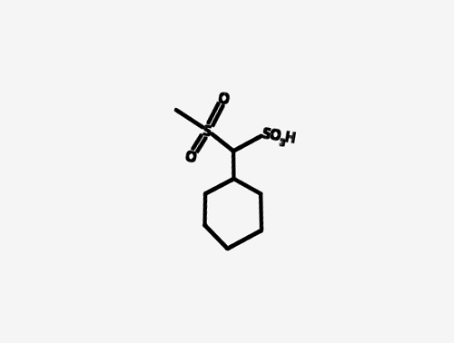 CS(=O)(=O)C(C1CCCCC1)S(=O)(=O)O